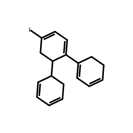 IC1=CC=C(C2=CC=CCC2)C(C2C=CC=CC2)C1